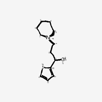 OC(CCN1CCCCC1)c1cccs1